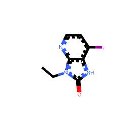 CCn1c(=O)[nH]c2c(I)ccnc21